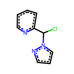 ClC(c1ccccn1)n1cc[c]n1